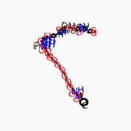 COc1cc2c(cc1OCCCOc1cc3c(cc1OC)C(=O)N1C=C(c4ccc5c(c4)OCO5)C[C@H]1C=N3)N=C[C@@H]1CC(c3ccc(NC(=O)[C@H](C)NC(=O)C(NC(=O)CCOCCOCCOCCOCCOCCOCCOCCOCCNC(=O)CCN4C(=O)CC(c5ccccccccc5)C4=O)C(C)C)cc3)=CN1C2=O